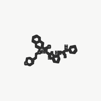 O=C(Nc1nc2cccc(NC(=S)Nc3ccccc3)c2s1)c1cc2ccccc2cc1OCCN1CCOCC1